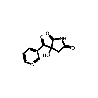 O=C1CC(O)(C(=O)c2cccnc2)C(=O)N1